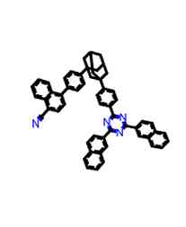 N#Cc1ccc(-c2ccc(C34CC5CC(CC(c6ccc(-c7nc(-c8ccc9ccccc9c8)nc(-c8ccc9ccccc9c8)n7)cc6)(C5)C3)C4)cc2)c2ccccc12